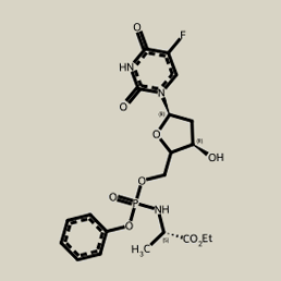 CCOC(=O)[C@H](C)NP(=O)(OCC1O[C@@H](n2cc(F)c(=O)[nH]c2=O)C[C@H]1O)Oc1ccccc1